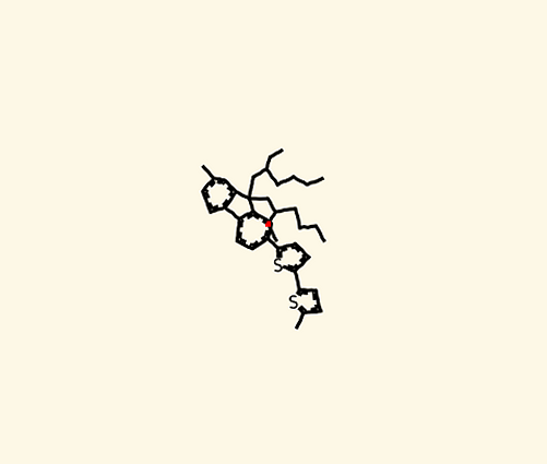 CCCCC(CC)CC1(CC(CC)CCCC)c2cc(C)ccc2-c2ccc(-c3ccc(-c4ccc(C)s4)s3)cc21